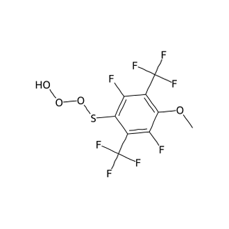 COc1c(F)c(C(F)(F)F)c(SOOO)c(F)c1C(F)(F)F